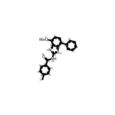 COc1ccc(-c2ccccc2)c2sc(NC(=O)c3ccc(C)cc3)nc12